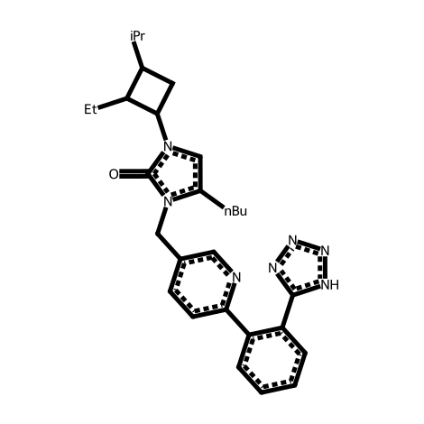 CCCCc1cn(C2CC(C(C)C)C2CC)c(=O)n1Cc1ccc(-c2ccccc2-c2nnn[nH]2)nc1